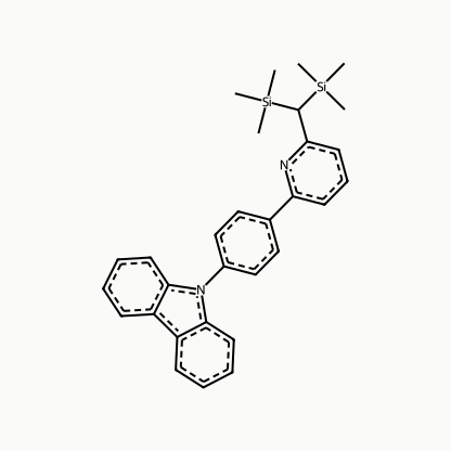 C[Si](C)(C)C(c1cccc(-c2ccc(-n3c4ccccc4c4ccccc43)cc2)n1)[Si](C)(C)C